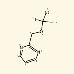 CCC(F)(F)OCc1ncccn1